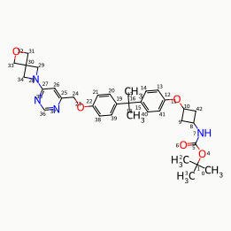 CC(C)(C)OC(=O)NC1CC(Oc2ccc(C(C)(C)c3ccc(OCc4cc(N5CC6(COC6)C5)ncn4)cc3)cc2)C1